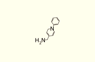 NCC1=CCN(c2ccccc2)C=C1